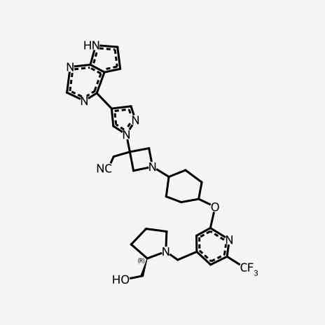 N#CCC1(n2cc(-c3ncnc4[nH]ccc34)cn2)CN(C2CCC(Oc3cc(CN4CCC[C@@H]4CO)cc(C(F)(F)F)n3)CC2)C1